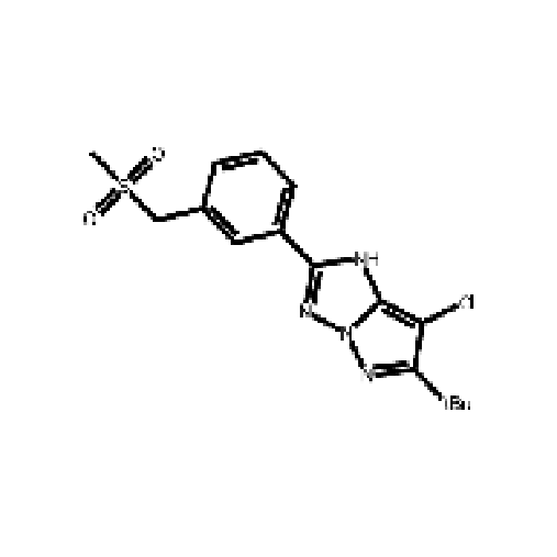 CC(C)(C)c1nn2nc(-c3cccc(CS(C)(=O)=O)c3)[nH]c2c1Cl